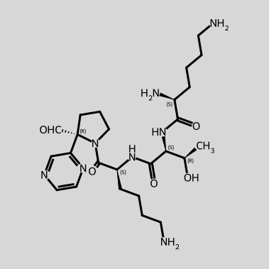 C[C@@H](O)[C@H](NC(=O)[C@@H](N)CCCCN)C(=O)N[C@@H](CCCCN)C(=O)N1CCC[C@]1(C=O)c1cnccn1